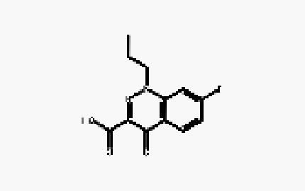 CCCn1nc(C(=O)O)c(=O)c2ccc(F)cc21